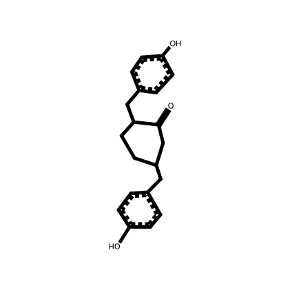 O=C1CC(Cc2ccc(O)cc2)CCC1Cc1ccc(O)cc1